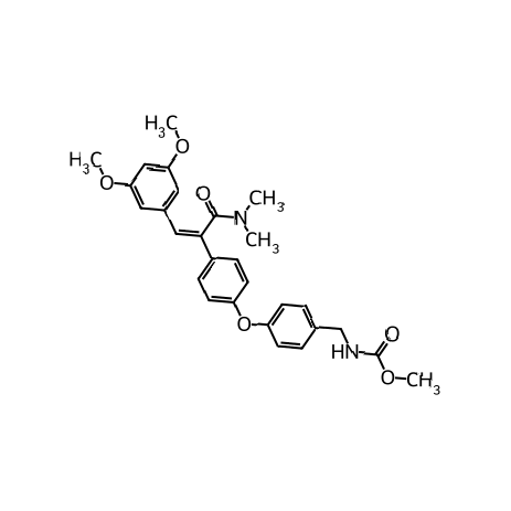 COC(=O)NCc1ccc(Oc2ccc(/C(=C/c3cc(OC)cc(OC)c3)C(=O)N(C)C)cc2)cc1